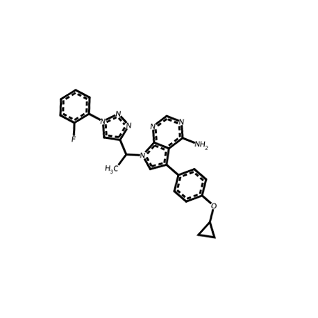 CC(c1cn(-c2ccccc2F)nn1)n1cc(-c2ccc(OC3CC3)cc2)c2c(N)ncnc21